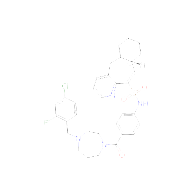 O=C(c1ccc(NS(=O)(=O)C2=C[C@H]3CCCCC3Cc3cccnc32)cc1)N1CCCN(Cc2ccc(Cl)cc2F)CC1